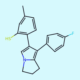 Cc1ccc(-c2cn3c(c2-c2ccc(F)cc2)CCC3)c(S)c1